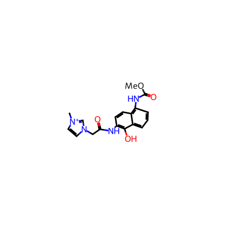 COC(=O)Nc1cccc2c(O)c(NC(=O)Cn3cc[n+](C)c3)ccc12